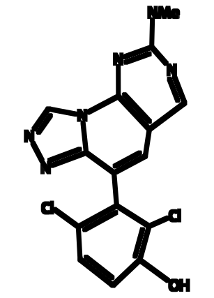 CNc1ncc2cc(-c3c(Cl)ccc(O)c3Cl)c3nncn3c2n1